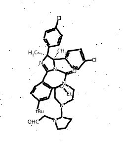 CCOc1cc(C(C)(C)C)ccc1C1=N[C@@](C)(c2ccc(Cl)cc2)[C@@](C)(c2ccc(Cl)cc2)N1C(=O)N1CCN(C2CCCN2CC=O)CC1